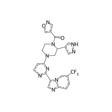 O=C(c1cnoc1)N1CCN(c2ccnc(-c3cnc4ccc(C(F)(F)F)cn34)n2)CC1c1cn[nH]c1